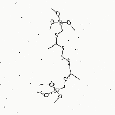 CO[Si](CSC(C)SSSC(C)SC[Si](OC)(OC)OC)(OC)OC